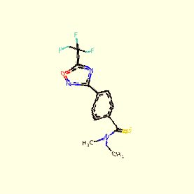 CN(C)C(=S)c1ccc(-c2noc(C(F)(F)F)n2)cc1